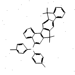 Cc1ccc(N(c2ccc(C)cc2)c2cc3c(c4ccccc24)-c2cc4c(cc2C3(C)C)-c2ccccc2C4(C)C)cc1